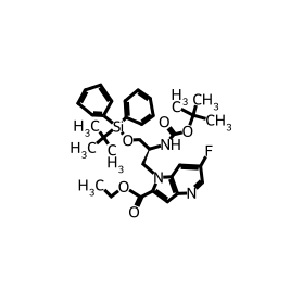 CCOC(=O)c1cc2ncc(F)cc2n1C[C@@H](CO[Si](c1ccccc1)(c1ccccc1)C(C)(C)C)NC(=O)OC(C)(C)C